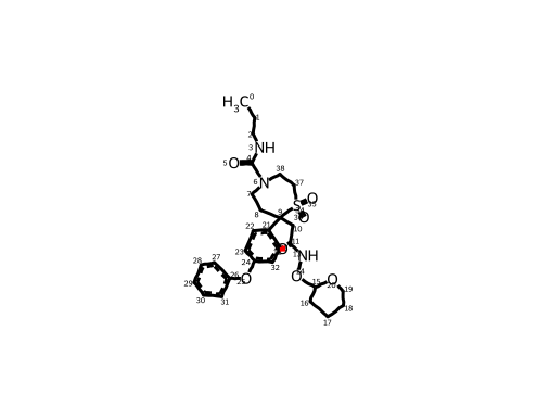 CCCNC(=O)N1CCC(CC(=O)NOC2CCCCO2)(c2ccc(Oc3ccccc3)cc2)S(=O)(=O)CC1